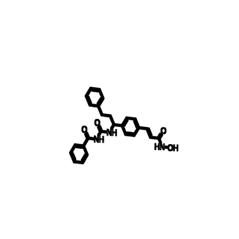 O=C(C=Cc1ccc(C(CCc2ccccc2)NC(=O)NC(=O)c2ccccc2)cc1)NO